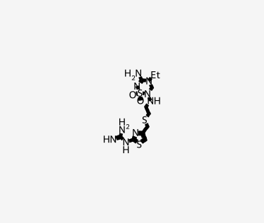 CCN1CN(NCCSCc2csc(NC(=N)N)n2)S(=O)(=O)N=C1N